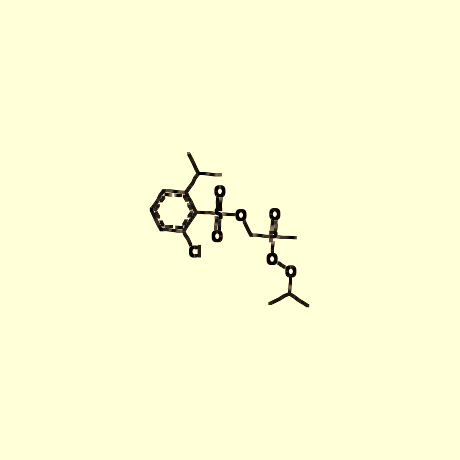 CC(C)OOP(C)(=O)COS(=O)(=O)c1c(Cl)cccc1C(C)C